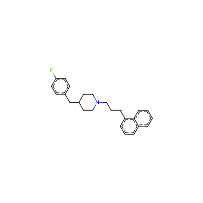 Fc1ccc(CC2CCN(CC[CH]c3cccc4ccccc34)CC2)cc1